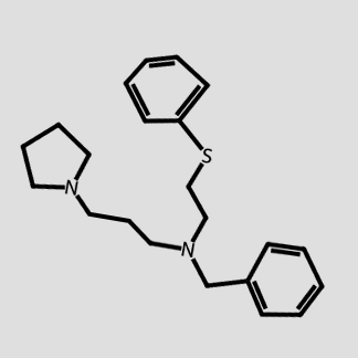 c1ccc(CN(CCCN2CCCC2)CCSc2ccccc2)cc1